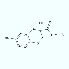 COC(=O)C1(C)COc2ccc(O)cc2O1